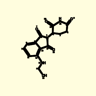 O=C1CCC(N2C(=O)c3cccc(NCO)c3C2=O)C(=O)N1